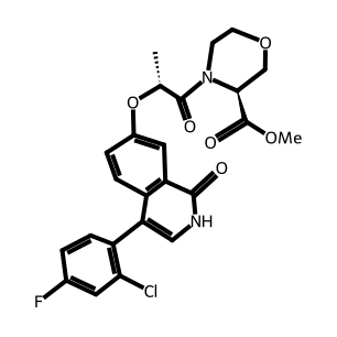 COC(=O)[C@@H]1COCCN1C(=O)[C@@H](C)Oc1ccc2c(-c3ccc(F)cc3Cl)c[nH]c(=O)c2c1